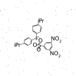 CC(C)c1ccc([I+](OS(=O)(=O)c2cc([N+](=O)[O-])cc([N+](=O)[O-])c2)c2ccc(C(C)C)cc2)cc1